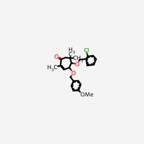 COc1ccc(COC2C=C(C)C(=O)CC(C)(C)C2OCc2ccccc2Cl)cc1